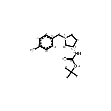 CC(C)(C)OC(=O)N[C@H]1CCN(Cc2ccc(F)cc2)C1